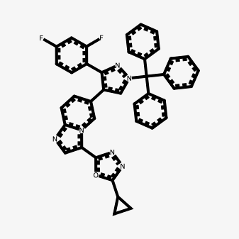 Fc1ccc(-c2nn(C(c3ccccc3)(c3ccccc3)c3ccccc3)cc2-c2ccc3ncc(-c4nnc(C5CC5)o4)n3c2)c(F)c1